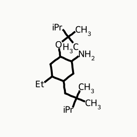 CCC1CC(OC(C)(C)C(C)C)C(N)CC1CC(C)(C)C(C)C